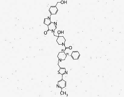 Cc1ccc(-c2ncc(CN3CC[C@@H](C(=O)N4CCC(O)(Cn5cnc6c(ccn6-c6ccc(CO)cc6)c5=O)CC4)[C@H](c4ccccc4)C3)s2)cn1